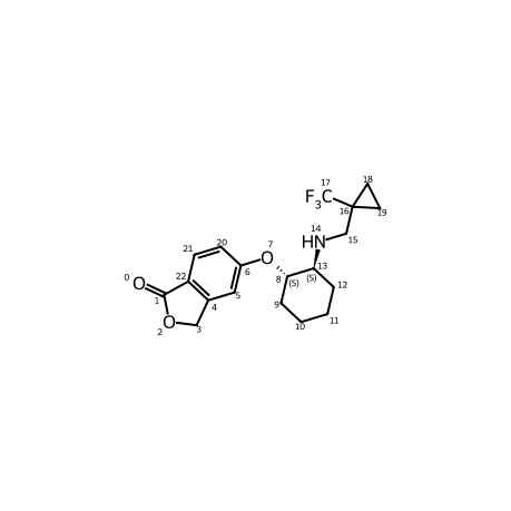 O=C1OCc2cc(O[C@H]3CCCC[C@@H]3NCC3(C(F)(F)F)CC3)ccc21